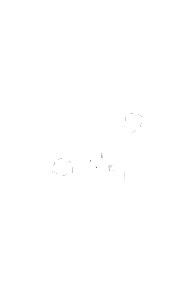 C[C@H](CCCc1ccccc1)C(=O)NCc1ccccc1